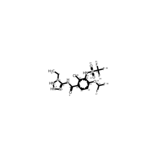 CCN1NNN=C1NC(=O)c1ccc(OC(F)F)c(NS(=O)(=O)C(F)(F)F)c1Cl